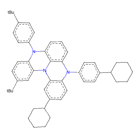 CC(C)(C)c1ccc(N2c3ccc(C(C)(C)C)cc3N3c4cc(C5CCCCC5)ccc4N(c4ccc(C5CCCCC5)cc4)c4cccc2c43)cc1